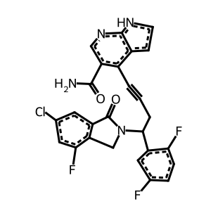 NC(=O)c1cnc2[nH]ccc2c1C#CCC(c1cc(F)ccc1F)N1Cc2c(F)cc(Cl)cc2C1=O